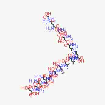 CC(C)C[C@H](N)C(=O)O.CC(C)C[C@H](N)C(=O)O.CC(C)[C@H](N)C(=O)O.CSCC[C@H](N)C(=O)O.C[C@@H](O)[C@H](N)C(=O)O.C[C@@H](O)[C@H](N)C(=O)O.C[C@H](N)C(=O)O.C[C@H](N)C(=O)O.NC(=O)CC[C@H](N)C(=O)O.NC(=O)C[C@H](N)C(=O)O.NC(=O)C[C@H](N)C(=O)O.NCC(=O)O.NCC(=O)O.N[C@@H](CC(=O)O)C(=O)O.N[C@@H](Cc1c[nH]cn1)C(=O)O